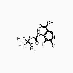 CC(C)(C)OC(=O)Nc1c(C(=O)O)cnc(Cl)c1F